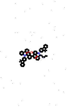 C=C/C=C\C=C(/c1ccccc1)N(c1ccc2c(c1)C(C)(C)c1ccccc1-2)c1ccc2oc3ccc(N(c4ccc5c(c4)C(C)(C)c4ccccc4-5)c4ccccc4-c4ccccc4)c4cccc(c5cccc1c25)c34